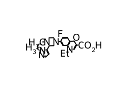 CCn1cc(C(=O)O)c(=O)c2cc(F)c(N3CCN(C)C(c4ccnn4C)C3)cc21